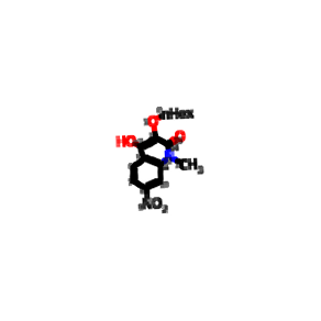 CCCCCCOc1c(O)c2ccc([N+](=O)[O-])cc2n(C)c1=O